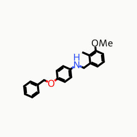 COc1cccc(CNc2ccc(OCc3ccccc3)cc2)c1C